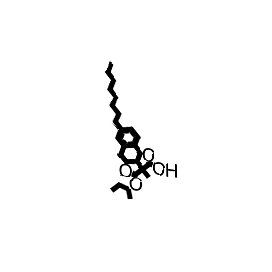 CCCCCCCCc1ccc2c(c1)CCC(C(C)(C(=O)O)C(=O)OC(C)CC)C2